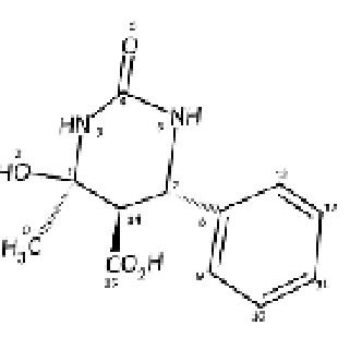 C[C@]1(O)NC(=O)N[C@H](c2ccccc2)[C@H]1C(=O)O